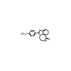 O=C1NCCn2c(-c3ccc(C(=O)O)cc3)nc3c2=C1CCC=3